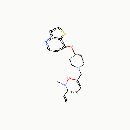 C=CCN(C)O/C(=C\C=O)CN1CCC(Oc2ccnc3ccsc23)CC1